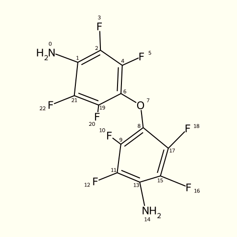 Nc1c(F)c(F)c(Oc2c(F)c(F)c(N)c(F)c2F)c(F)c1F